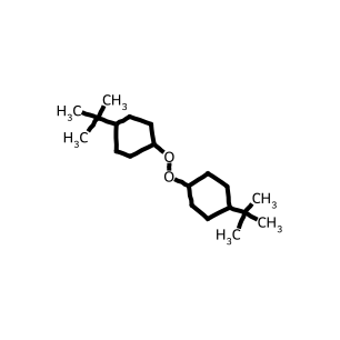 CC(C)(C)C1CCC(OOC2CCC(C(C)(C)C)CC2)CC1